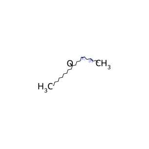 CC/C=C/C/C=C\CCCC(=O)CCCCCCCCCC